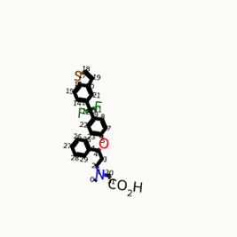 CN(CCC(Oc1ccc(C(F)(F)c2ccc3sccc3c2)cc1)c1ccccc1)CC(=O)O